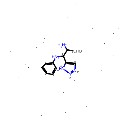 NC(C=O)C(Nc1ccccc1)c1cnn[nH]1